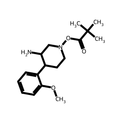 COc1ccccc1C1CCN(OC(=O)C(C)(C)C)CC1N